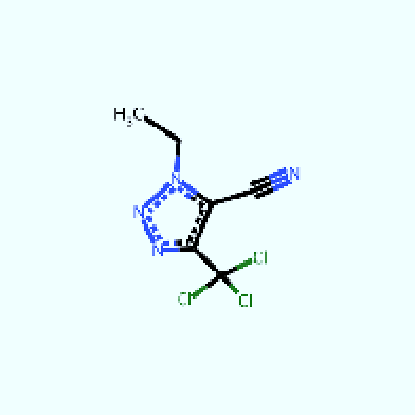 CCn1nnc(C(Cl)(Cl)Cl)c1C#N